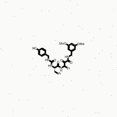 CCC(NC(=O)[C@H](CC(C)C)NC(=O)NCc1ccc(C#N)cc1)C(=O)C(=O)NCc1cc(OC)cc(OC)c1